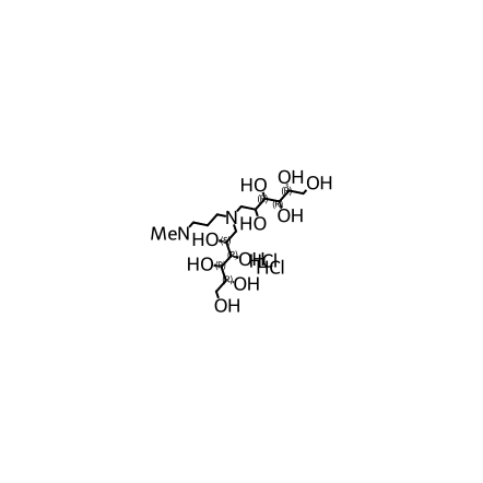 CNCCCN(CC(O)[C@@H](O)[C@H](O)[C@H](O)CO)C[C@H](O)[C@@H](O)[C@H](O)[C@H](O)CO.Cl.Cl